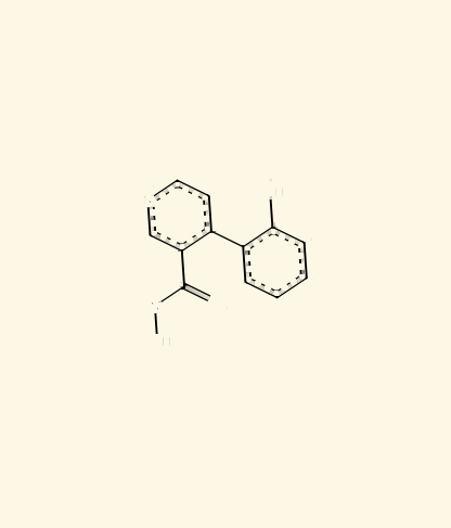 CNC(=O)c1cnccc1-c1ccccc1C